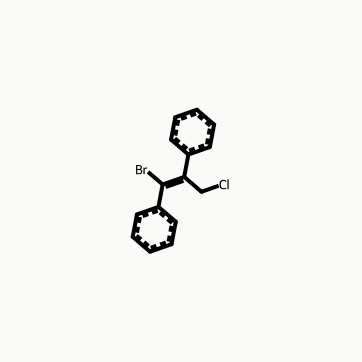 ClCC(=C(Br)c1ccccc1)c1ccccc1